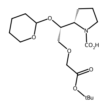 CC(C)(C)OC(=O)COC[C@H](OC1CCCCO1)[C@@H]1CCCN1C(=O)O